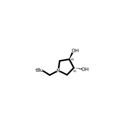 CC(C)(C)CN1C[C@@H](O)[C@H](O)C1